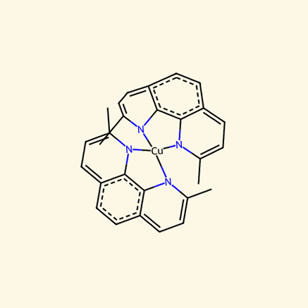 CC1=CC=c2ccc3c4c2[N]1[Cu]1([N]4C(C)=CC=3)[N]2C(C)=CC=c3ccc4c(c32)[N]1C(C)=CC=4